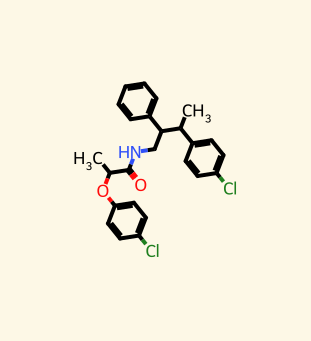 CC(Oc1ccc(Cl)cc1)C(=O)NCC(c1ccccc1)C(C)c1ccc(Cl)cc1